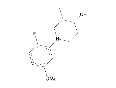 COc1ccc(F)c(N2CCC(O)C(C)C2)c1